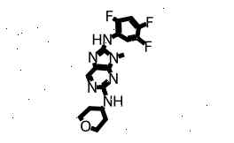 Cn1c(Nc2cc(F)c(F)cc2F)nc2cnc(NC3CCOCC3)nc21